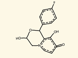 O=c1ccn2c(c1O)C(c1ccc(F)cc1)OC(O)C2